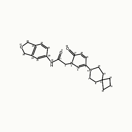 O=C(Cn1nc(N2CCC3(CCC3)CC2)ccc1=O)Nc1ccc2c(c1)COC2